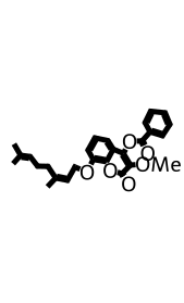 COc1c(OC(=O)c2ccccc2)c2cccc(OCC=C(C)CCC=C(C)C)c2oc1=O